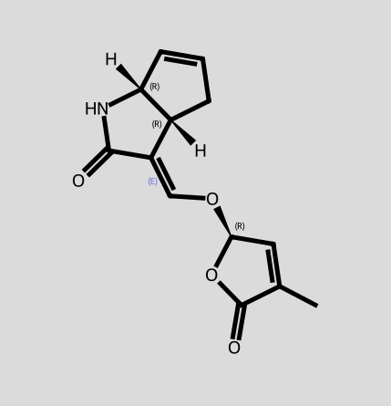 CC1=C[C@H](O/C=C2/C(=O)N[C@@H]3C=CC[C@H]23)OC1=O